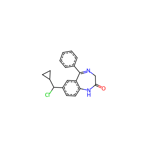 O=C1CN=C(c2ccccc2)c2cc(C(Cl)C3CC3)ccc2N1